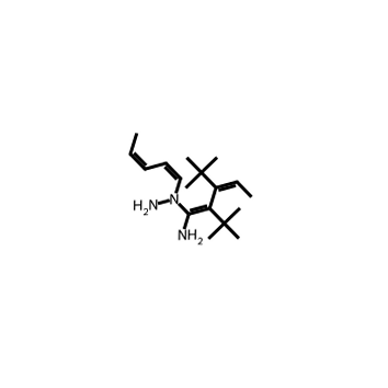 C/C=C\C=C/N(N)/C(N)=C(\C(=C/C)C(C)(C)C)C(C)(C)C